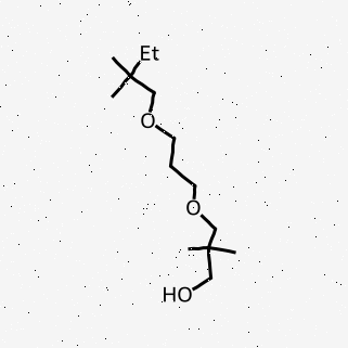 CCC(C)(C)COCCCOCC(C)(C)CO